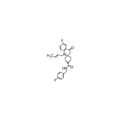 C/C=C/CN1c2ccc(F)cc2C(=O)CC12CCN(C(=O)NCc1ccc(F)cc1)CC2